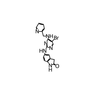 O=C1Cc2cc(Nc3ncc(Br)c(NCc4ccccn4)n3)ccc2N1